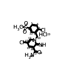 CS(=O)(=O)c1ccc(Cl)c(Cn2cc(Cl)cc(C(N)=O)c2=N)c1.Cl